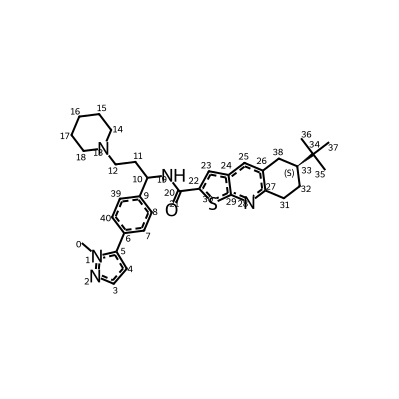 Cn1nccc1-c1ccc(C(CCN2CCCCC2)NC(=O)c2cc3cc4c(nc3s2)CC[C@H](C(C)(C)C)C4)cc1